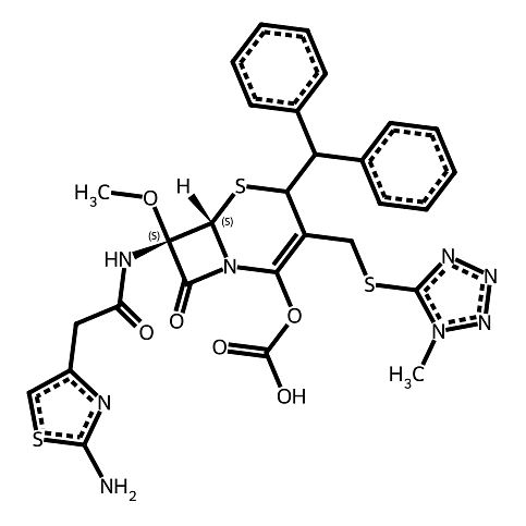 CO[C@@]1(NC(=O)Cc2csc(N)n2)C(=O)N2C(OC(=O)O)=C(CSc3nnnn3C)C(C(c3ccccc3)c3ccccc3)S[C@H]21